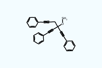 [SiH3]OC(C#Cc1ccccc1)(C#Cc1ccccc1)CC#Cc1ccccc1